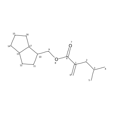 C=C(CC(C)C)C(=O)OCC1CCC2CCCC21